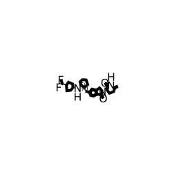 C=C1CCC(N2Cc3cc(C[C@H]4CCCC[C@@H]4N[C@H]4CC[C@H](C(F)F)CC4)ccc3C2=O)C(=O)N1